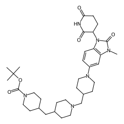 Cn1c(=O)n(C2CCC(=O)NC2=O)c2ccc(N3CCC(CN4CCC(CC5CCN(C(=O)OC(C)(C)C)CC5)CC4)CC3)cc21